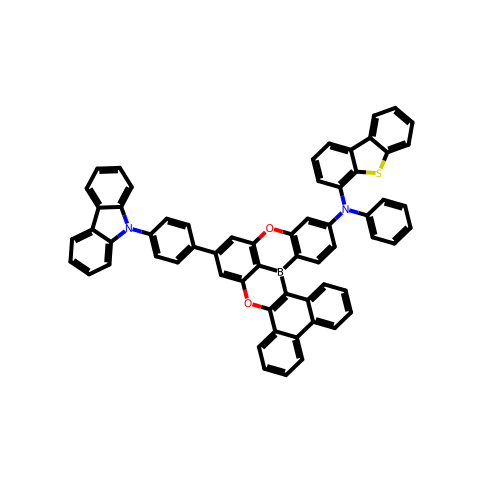 c1ccc(N(c2ccc3c(c2)Oc2cc(-c4ccc(-n5c6ccccc6c6ccccc65)cc4)cc4c2B3c2c(c3ccccc3c3ccccc23)O4)c2cccc3c2sc2ccccc23)cc1